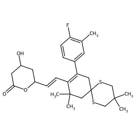 Cc1cc(C2=C(C=CC3CC(O)CC(=O)O3)C(C)(C)CC3(C2)SCC(C)(C)CS3)ccc1F